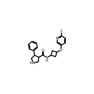 O=C(NC1CC(Oc2ccc(F)nc2)C1)C1CNCC1c1ccccc1